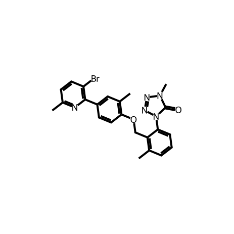 Cc1ccc(Br)c(-c2ccc(OCc3c(C)cccc3-n3nnn(C)c3=O)c(C)c2)n1